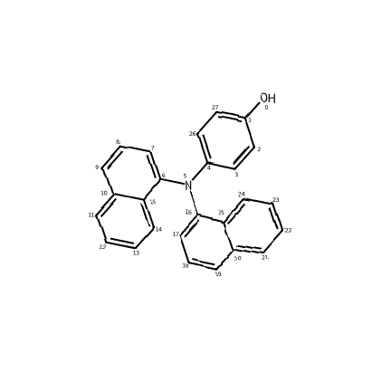 Oc1ccc(N(c2cccc3ccccc23)c2cccc3ccccc23)cc1